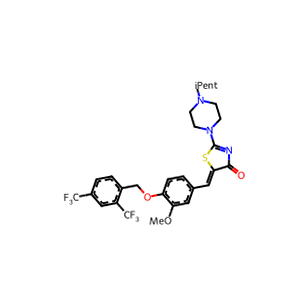 CCCC(C)N1CCN(C2=NC(=O)/C(=C/c3ccc(OCc4ccc(C(F)(F)F)cc4C(F)(F)F)c(OC)c3)S2)CC1